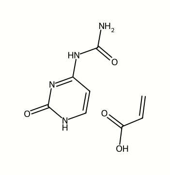 C=CC(=O)O.NC(=O)Nc1cc[nH]c(=O)n1